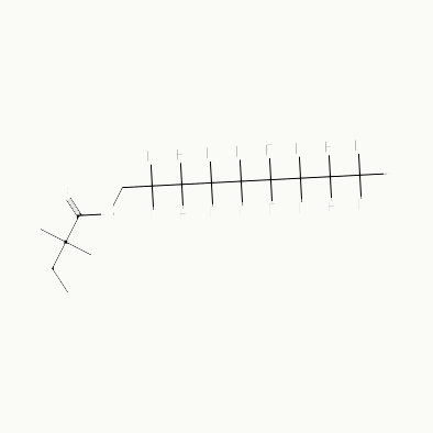 CCC(C)(C)C(=O)OCC(F)(F)C(F)(F)C(F)(F)C(F)(F)C(F)(F)C(F)(F)C(F)(F)C(F)(F)F